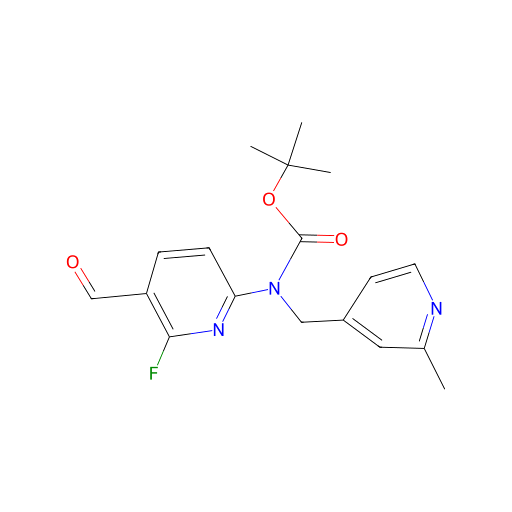 Cc1cc(CN(C(=O)OC(C)(C)C)c2ccc(C=O)c(F)n2)ccn1